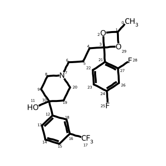 CC1OC(CCCN2CCC(O)(c3cccc(C(F)(F)F)c3)CC2)(c2ccc(F)cc2F)O1